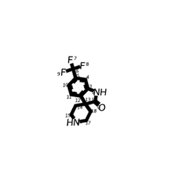 O=C1Nc2cc(C(F)(F)F)ccc2C12CCNCC2